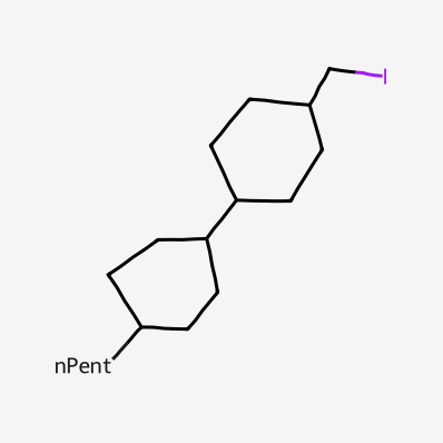 CCCCCC1CCC(C2CCC(CI)CC2)CC1